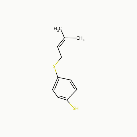 CC(C)=CCSc1ccc(S)cc1